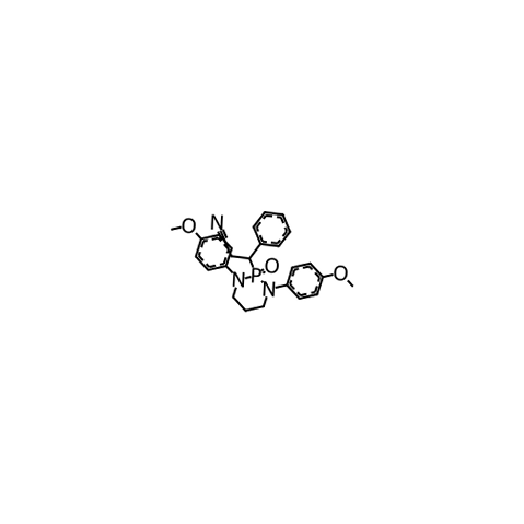 COc1ccc(N2CCCN(c3ccc(OC)cc3)P2(=O)C(CC#N)c2ccccc2)cc1